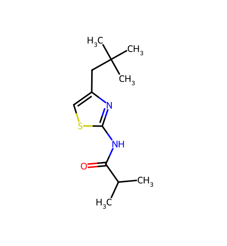 CC(C)C(=O)Nc1nc(CC(C)(C)C)cs1